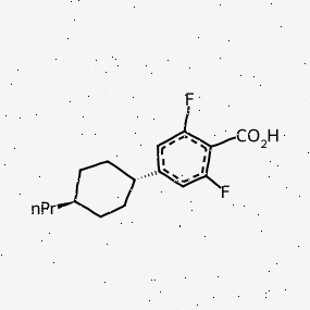 CCC[C@H]1CC[C@H](c2cc(F)c(C(=O)O)c(F)c2)CC1